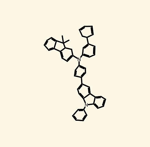 CC1(C)c2ccccc2C2=CC=C(N(c3ccc(-c4ccc5c(c4)c4ccccc4n5-c4ccccc4)cc3)c3cccc(C4C=CC=CC4)c3)CC21